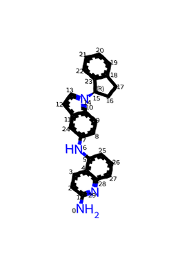 Nc1ccc2c(Nc3ccc4c(ccn4[C@@H]4CCc5ccccc54)c3)cccc2n1